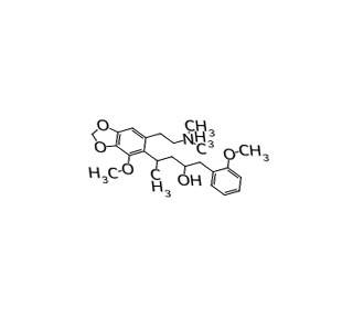 COc1ccccc1CC(O)CC(C)c1c(CCN(C)C)cc2c(c1OC)OCO2